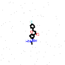 CC(=N)Nc1ccc2oc(-c3ccc(F)cc3)cc(=O)c2c1